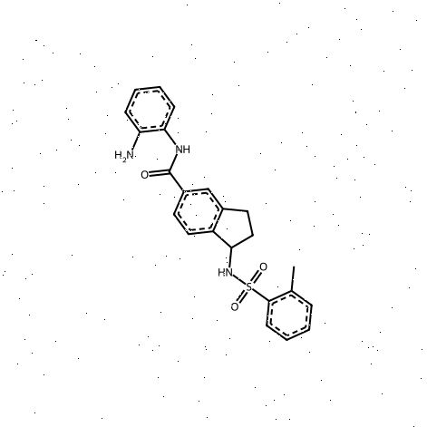 Cc1ccccc1S(=O)(=O)NC1CCc2cc(C(=O)Nc3ccccc3N)ccc21